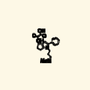 CNCCCn1c(-c2ccccc2)cc2c1CCC2.O=C(O)C(=O)O